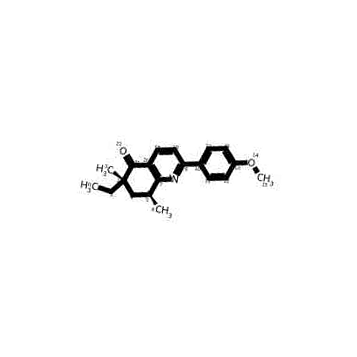 CC[C@@]1(C)C[C@H](C)c2nc(-c3ccc(OC)cc3)ccc2C1=O